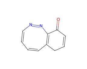 O=C1C=CCC2=C1\N=N/C=C\C=C/2